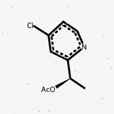 CC(=O)O[C@H](C)c1cc(Cl)ccn1